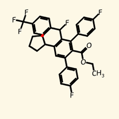 CCOC(=O)c1c(-c2ccc(F)cc2)cc(C2CCCC2)c(C(F)c2ccc(C(F)(F)F)cc2)c1-c1ccc(F)cc1